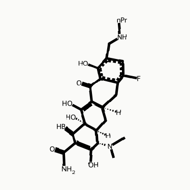 B=C1C(C(N)=O)=C(O)[C@@H](N(C)C)[C@@H]2C[C@@H]3Cc4c(F)cc(CNCCC)c(O)c4C(=O)C3=C(O)[C@]12O